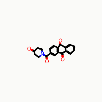 O=C1CCN(C(=O)c2ccc3c(c2)C(=O)c2ccccc2C3=O)CC1